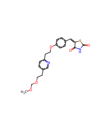 COCOCCc1ccc(CCOc2ccc(C=C3SC(=O)NC3=O)cc2)nc1